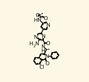 C[C@H](NC(=O)c1nc(-c2cncc(NS(C)(=O)=O)c2)cnc1N)c1cc2cccc(Cl)c2c(=O)n1-c1ccccc1